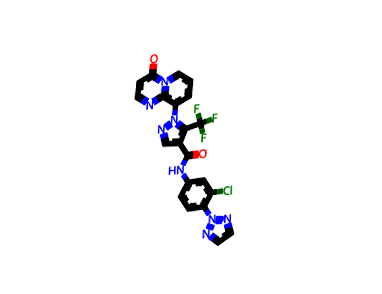 O=C(Nc1ccc(-n2nccn2)c(Cl)c1)c1cnn(-c2cccn3c(=O)ccnc23)c1C(F)(F)F